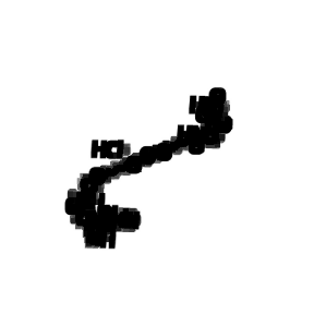 C[C@@H](NC(=O)c1cccc(NC2(c3nnc(-c4ccncc4)[nH]3)CCN(C)CC2)c1)c1ccc(OCCCCCCOCCOCCOCCCCCC(=O)Nc2cccc3c2CN(C2CCC(=O)NC2=O)C3=O)cc1.Cl